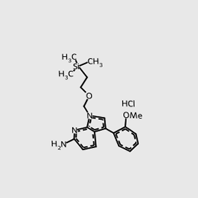 COc1ccccc1-c1cn(COCC[Si](C)(C)C)c2nc(N)ccc12.Cl